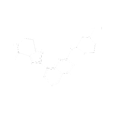 O=C1NCCc2[nH]c(-c3cccc4ccc(NC5CCCN(C(=O)O)C5)nc34)cc21